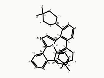 CC1(C)CC=C(c2cccc(C3CCC(C)(C)CC3)c2-c2cnc3c4ccccc4c4ccccc4n23)CC1